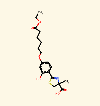 CCOC(=O)CCCCCOc1ccc(C2=NC(C)(C(=O)O)CS2)c(O)c1